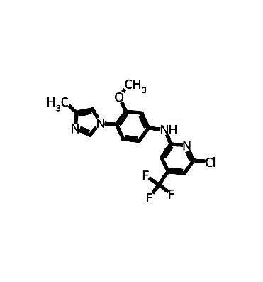 COc1cc(Nc2cc(C(F)(F)F)cc(Cl)n2)ccc1-n1cnc(C)c1